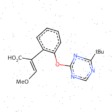 COC=C(C(=O)O)c1ccccc1Oc1ncnc(C(C)(C)C)n1